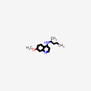 C[CH]C[C@@H](C)Nc1ccnc2cc(OC)ccc12